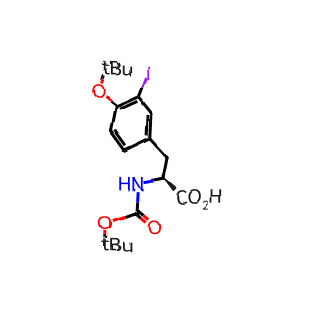 CC(C)(C)OC(=O)N[C@@H](Cc1ccc(OC(C)(C)C)c(I)c1)C(=O)O